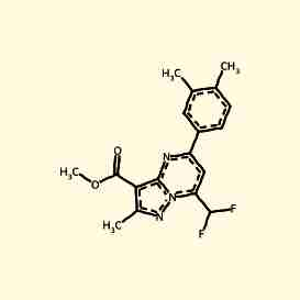 COC(=O)c1c(C)nn2c(C(F)F)cc(-c3ccc(C)c(C)c3)nc12